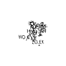 CCOC(=O)N1CCN(C(=O)C(CCC(=O)O)NC(=O)c2cc(OCC(=O)N3CCCC3C(=O)NCC3CC3)c3ccccc3n2)CC1